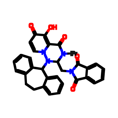 CC(C)N1C(=O)c2c(O)c(=O)ccn2N(C2c3ccccc3CCc3ccccc32)C1CN1C(=O)c2ccccc2C1=O